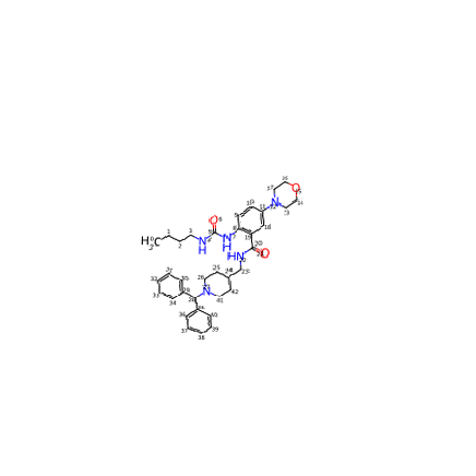 CCCCNC(=O)Nc1ccc(N2CCOCC2)cc1C(=O)NCC1CCN(C(c2ccccc2)c2ccccc2)CC1